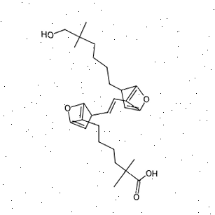 CC(C)(CO)CCCCC1C=C2OC1=C2C=CC1C=C2OC1=C2CCCCC(C)(C)C(=O)O